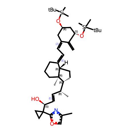 C=C1/C(=C\C=C2/CCC[C@]3(C)[C@@H]([C@H](C)/C=C/[C@H](O)C4(c5nc(C)co5)CC4)CC[C@@H]23)C[C@@H](O[Si](C)(C)C(C)(C)C)C[C@@H]1O[Si](C)(C)C(C)(C)C